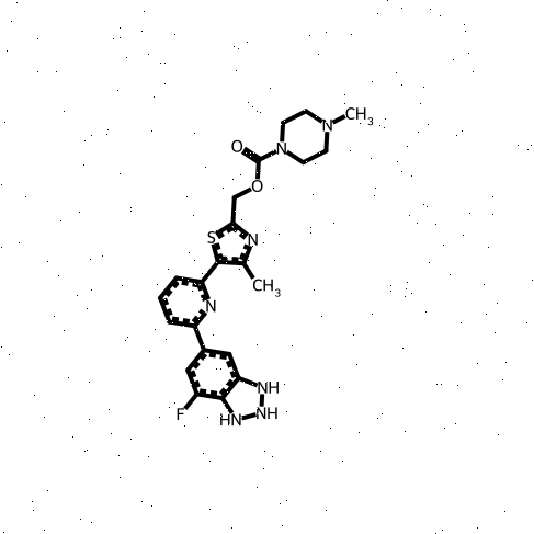 Cc1nc(COC(=O)N2CCN(C)CC2)sc1-c1cccc(-c2cc(F)c3c(c2)NNN3)n1